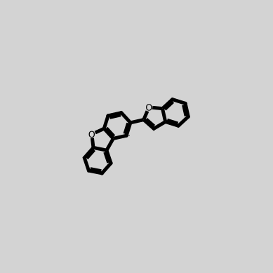 [c]1c(-c2cc3ccccc3o2)ccc2oc3ccccc3c12